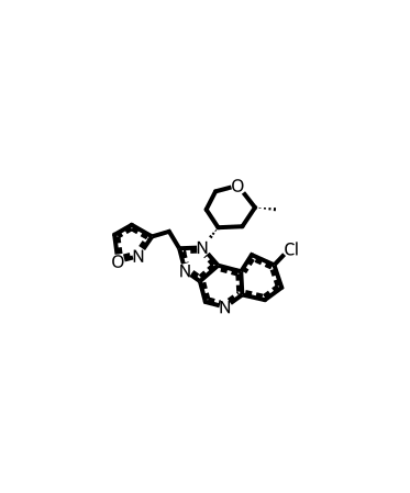 C[C@@H]1C[C@H](n2c(Cc3ccon3)nc3cnc4ccc(Cl)cc4c32)CCO1